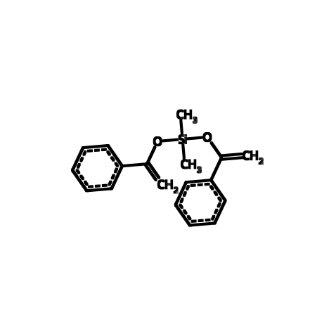 C=C(O[Si](C)(C)OC(=C)c1ccccc1)c1ccccc1